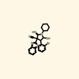 N#CC1(c2nc3ccccc3[nH]2)C(=N)N(C2CCCCC2)C(S)C1c1ccccc1Br